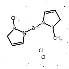 CB1CC=C[N]1[Zr+2][N]1C=CCB1C.[Cl-].[Cl-]